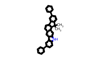 CC1(C)c2ccc(-c3ccccc3)cc2-c2ccc3cc4c(cc3c21)[nH]c1ccc(-c2ccccc2)cc14